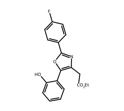 CCOC(=O)Cc1nc(-c2ccc(F)cc2)oc1-c1ccccc1O